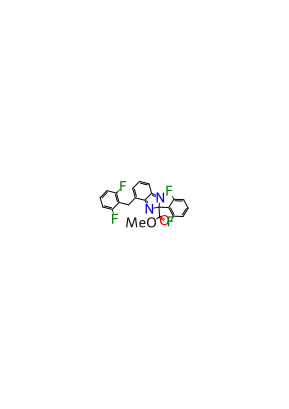 COC(=O)C1(c2c(F)cccc2F)N=c2cccc(Cc3c(F)cccc3F)c2=N1